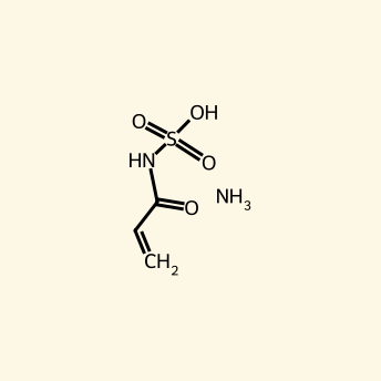 C=CC(=O)NS(=O)(=O)O.N